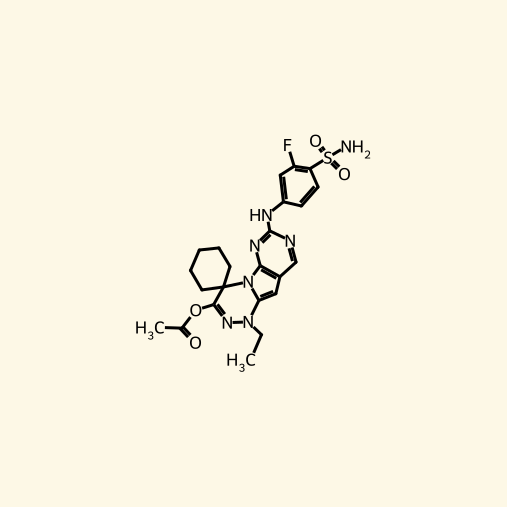 CCN1N=C(OC(C)=O)C2(CCCCC2)n2c1cc1cnc(Nc3ccc(S(N)(=O)=O)c(F)c3)nc12